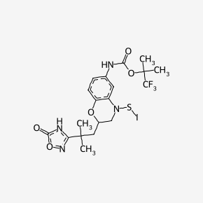 CC(C)(CC1CN(SI)c2cc(NC(=O)OC(C)(C)C(F)(F)F)ccc2O1)c1noc(=O)[nH]1